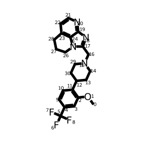 COc1cc(C(F)(F)F)ccc1C1CCN(Cc2nc3nccc4c3n2CCC4)CC1